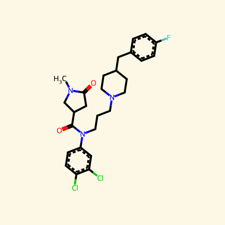 CN1CC(C(=O)N(CCCN2CCC(Cc3ccc(F)cc3)CC2)c2ccc(Cl)c(Cl)c2)CC1=O